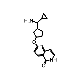 NC(C1CC1)C1CCC(Oc2ccc3c(=O)[nH]ccc3c2)C1